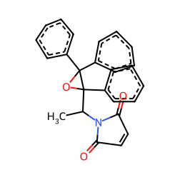 CC(N1C(=O)C=CC1=O)C1(c2ccccc2)OC1(c1ccccc1)c1ccccc1